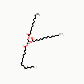 CCCC/C=C\C/C=C\CCCCCCCC(=O)OC[C@@H](COC(=O)CCCCCCCCCCC)OC(=O)CCCCCCCCCCCCCC